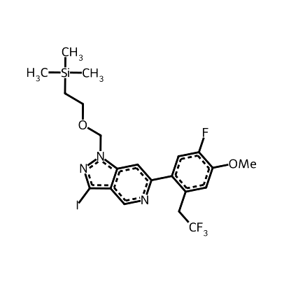 COc1cc(CC(F)(F)F)c(-c2cc3c(cn2)c(I)nn3COCC[Si](C)(C)C)cc1F